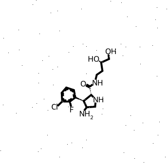 NC1CN[C@@H](C(=O)NCC[C@H](O)CO)[C@@H]1c1cccc(Cl)c1F